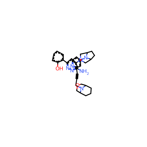 Nc1nnc(-c2ccccc2O)cc1N1CC2CCC(C1)N2c1ccnc(C#CCN2C3CCCC2COC3)c1